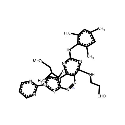 COCC(C)Nc1nc(Nc2c(C)cc(C)cc2C)nc(NCCC=O)c1/N=N\c1nn(-c2ncccn2)cc1C#N